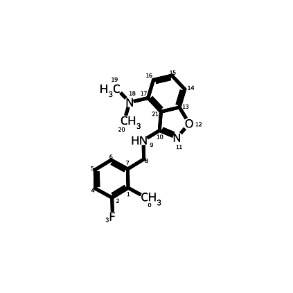 Cc1c(F)cccc1CNc1noc2cccc(N(C)C)c12